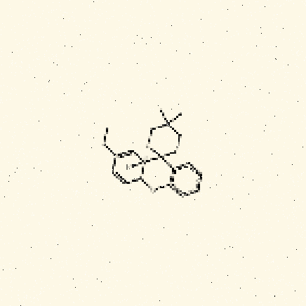 CCC1=C[C@H]2C(C=C1)Oc1ccccc1C21OCC(C)(C)CO1